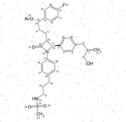 C=C(CO)Cc1ccc([C@@H]2C(CC[C@H](OC(C)=O)c3ccc(F)cc3)C(=O)N2c2ccc(CCCNS(C)(=O)=O)cc2)cc1